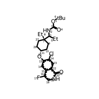 CCC(NC(=O)OC(C)(C)C)[C@]1(CC)CC[C@H](Oc2cc3c(F)c[nH]c(=O)c3cc2Cl)CC1